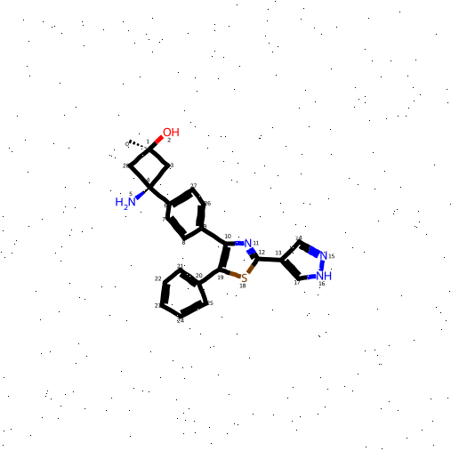 C[C@]1(O)C[C@](N)(c2ccc(-c3nc(-c4cn[nH]c4)sc3-c3ccccc3)cc2)C1